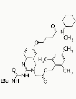 Cc1cc(C)c(COC(=O)CN2Cc3cc(OCCCC(=O)N(C)C4CCCCC4)ccc3N=C2NC(=O)NC(C)(C)C)c(C)c1